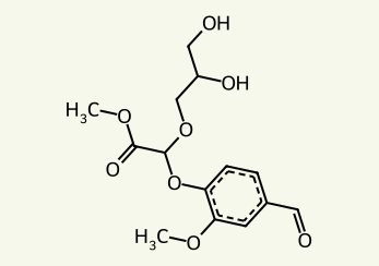 COC(=O)C(OCC(O)CO)Oc1ccc(C=O)cc1OC